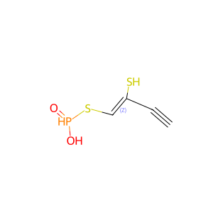 C#C/C(S)=C/S[PH](=O)O